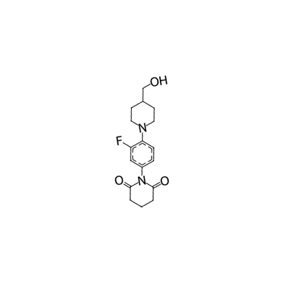 O=C1CCCC(=O)N1c1ccc(N2CCC(CO)CC2)c(F)c1